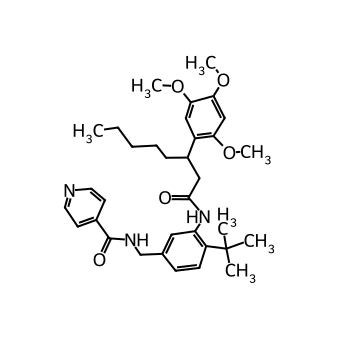 CCCCCC(CC(=O)Nc1cc(CNC(=O)c2ccncc2)ccc1C(C)(C)C)c1cc(OC)c(OC)cc1OC